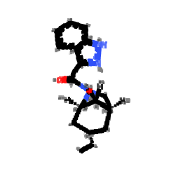 CC[C@H]1C[C@@H]2CN(C(=O)c3n[nH]c4ccccc34)[C@H](C1)[C@@H]2C